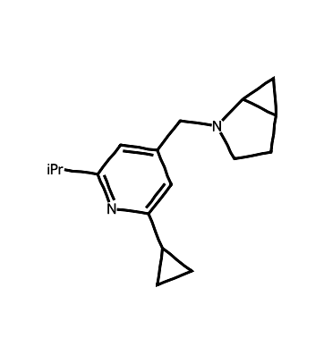 CC(C)c1cc(CN2CCC3CC32)cc(C2CC2)n1